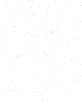 CC(C)(C)N1C(=O)CCCC1(C)C